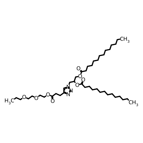 CCCCCCCCCCCCCC(=O)OCC(Cn1cc(CCC(=O)OCCOCCOCCC)nn1)OC(=O)CCCCCCCCCCCCC